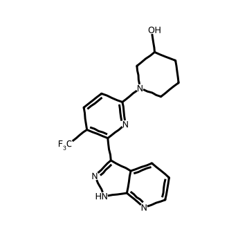 OC1CCCN(c2ccc(C(F)(F)F)c(-c3n[nH]c4ncccc34)n2)C1